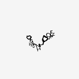 CC(C)(Cc1ccc(OC(F)(F)F)cc1)NCC(O)COc1ccccc1